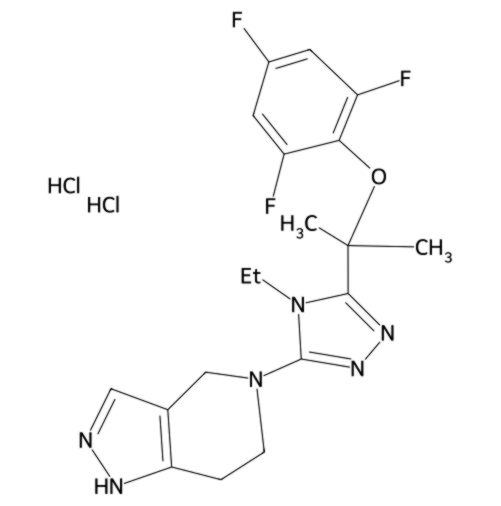 CCn1c(N2CCc3[nH]ncc3C2)nnc1C(C)(C)Oc1c(F)cc(F)cc1F.Cl.Cl